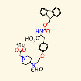 CC(C)(C)OC(=O)CN1CCC(N(C=O)CCOc2ccc(C[C@H](NC(=O)OCC3c4ccccc4-c4ccccc43)C(=O)O)cc2)CC1